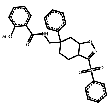 COc1ccccc1C(=O)NCC1(c2ccccc2)CCC2C(S(=O)(=O)c3ccccc3)=NOC2C1